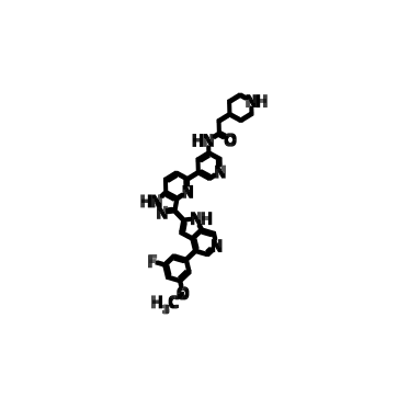 COc1cc(F)cc(-c2cncc3[nH]c(-c4n[nH]c5ccc(-c6cncc(NC(=O)CC7CCNCC7)c6)nc45)cc23)c1